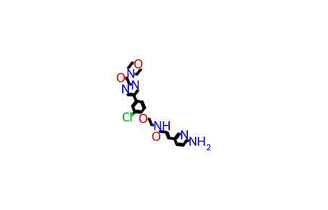 Nc1ccc(C=CC(=O)NCCOc2ccc(-c3cnc(C(=O)N4CCOCC4)nc3)cc2Cl)cn1